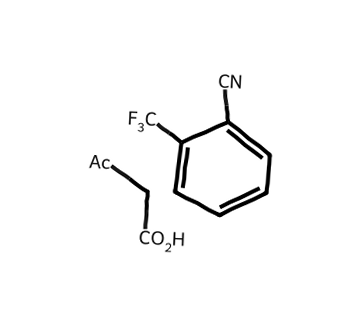 CC(=O)CC(=O)O.N#Cc1ccccc1C(F)(F)F